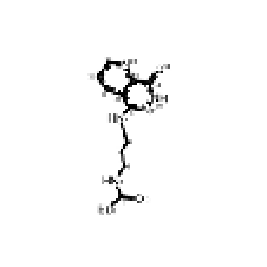 CCC(=O)NCCCNc1n[nH]c(=O)c2ncccc12